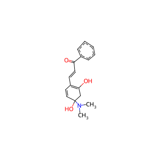 CN(C)C1(O)C=CC(/C=C/C(=O)c2ccccc2)=C(O)C1